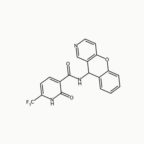 O=C(NC1c2ccccc2Oc2ccncc21)c1ccc(C(F)(F)F)[nH]c1=O